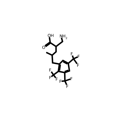 CC(Cc1cc(C(F)(F)F)cc(C(F)(F)F)c1C(F)(F)F)CC(CN)C(=O)O